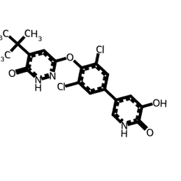 CC(C)(C)c1cc(Oc2c(Cl)cc(-c3c[nH]c(=O)c(O)c3)cc2Cl)n[nH]c1=O